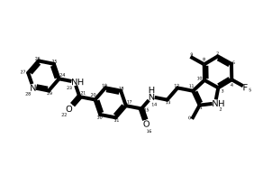 Cc1[nH]c2c(F)ccc(C)c2c1CCNC(=O)c1ccc(C(=O)Nc2cccnc2)cc1